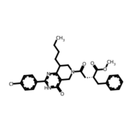 CCCCC1CN(C(=O)C[C@@H](Cc2ccccc2)C(=O)OC)Cc2c1nc(-c1ccc(Cl)cc1)[nH]c2=O